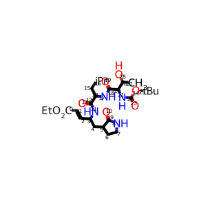 CCOC(=O)C=CC(CC1CCNC1=O)NC(=O)C(CC(C)C)NC(=O)C(NC(=O)OC(C)(C)C)C(C)O